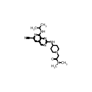 CC(C)Nc1nc(C#N)cc2cnc(NC3CCN(CC(=O)N(C)C)CC3)nc12